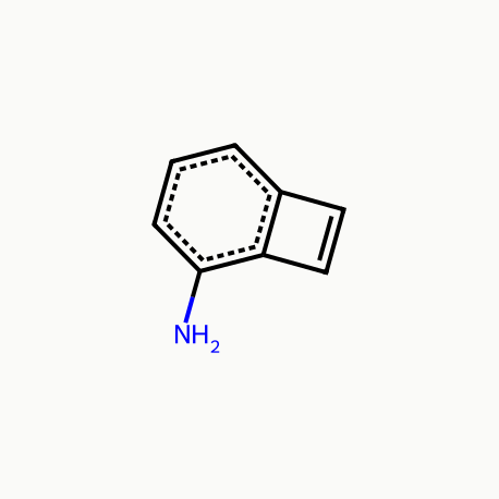 Nc1cccc2c1C=C2